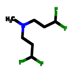 CN(CCC(F)F)CCC(F)F